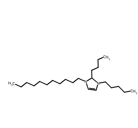 CCCCCCCCCCCN1C=CN(CCCCC)C1CCCC